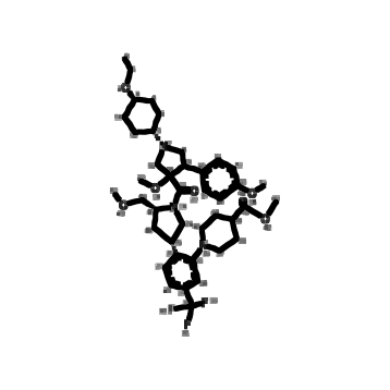 CCO[C@H]1CC[C@H](N2CC(c3ccc(OC)cc3)C(OC)(C(=O)N3C[C@H](c4ccc(C(F)(F)F)cc4N4CCC(C(=O)OC)CC4)C[C@H]3COC)C2)CC1